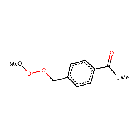 COOOCc1ccc(C(=O)OC)cc1